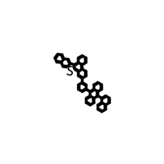 c1cc(-c2ccc3c4ccccc4c4c5cc6ccccc6cc5sc4c3c2)cc(-c2c3ccccc3c(-c3cccc4ccccc34)c3ccccc23)c1